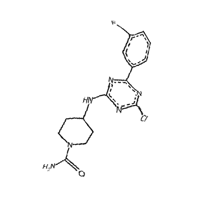 NC(=O)N1CCC(Nc2nc(Cl)nc(-c3cccc(F)c3)n2)CC1